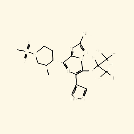 [2H]C([2H])([2H])C([2H])(Oc1c(-c2cn[nH]c2)nc([C@H]2CCN(S(C)(=O)=O)C[C@@H]2C)c2nc(N)nn12)C([2H])([2H])[2H]